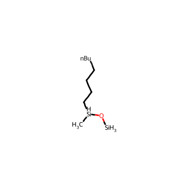 CCCCCCCC[SiH](C)O[SiH3]